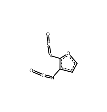 O=C=Nc1ccoc1N=C=O